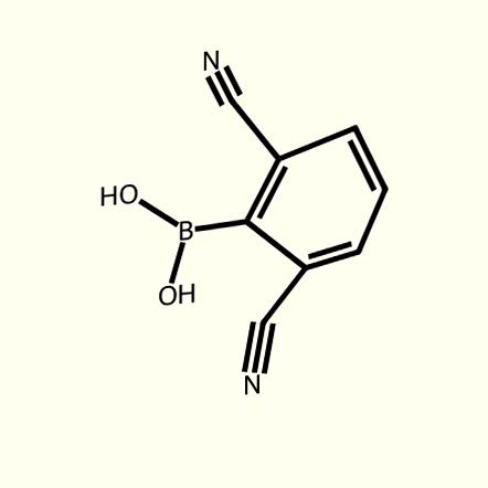 N#Cc1cccc(C#N)c1B(O)O